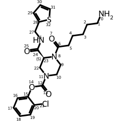 NCCCCCC(=O)N1CCN(C(=O)Oc2ccccc2Cl)C[C@H]1C(=O)NCc1cccs1